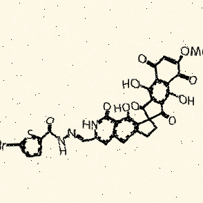 COC1=CC(=O)c2c(O)c3c(c(O)c2C1=O)C(=O)C1(CCc2cc4cc(C=NNC(=O)c5ccc(Br)s5)[nH]c(=O)c4c(O)c21)C3=O